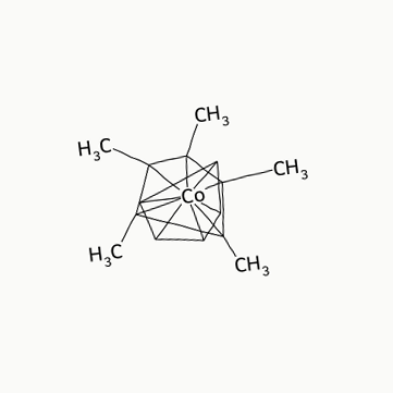 C[C]12[C]3(C)[C]4(C)[C]5(C)[C]1(C)[Co]23451678[CH]2[CH]1[CH]6[CH]7[CH]28